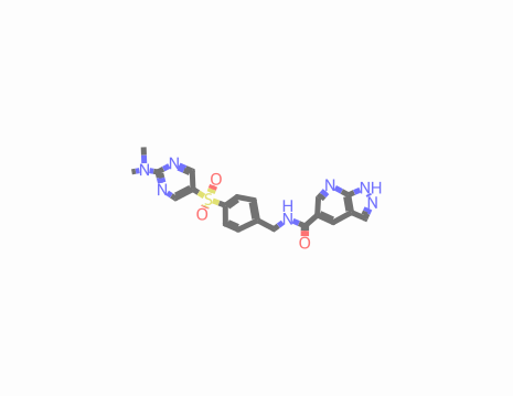 CN(C)c1ncc(S(=O)(=O)c2ccc(CNC(=O)c3cnc4[nH]ncc4c3)cc2)cn1